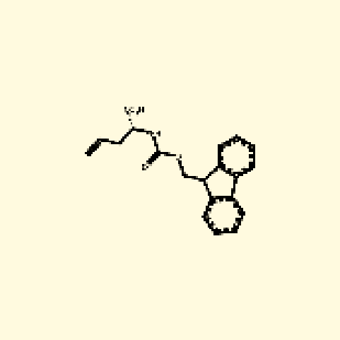 C=CC[C@@H](NC(=O)OCC1c2ccccc2-c2ccccc21)C(=O)O